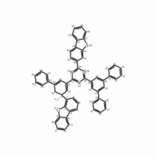 C[C@@]1(c2cccc3c2oc2ccccc23)C=C(c2nc(-c3cc(-c4ccccc4)cc(-c4ccccc4)c3)nc(-c3ccc4c(c3)sc3ccccc34)n2)C=C(c2ccccc2)C1